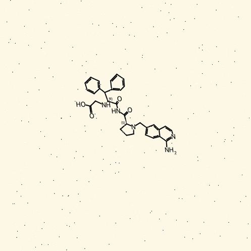 Nc1nccc2cc(CN3CCC[C@H]3C(=O)NC(=O)[C@H](NCC(=O)O)C(c3ccccc3)c3ccccc3)ccc12